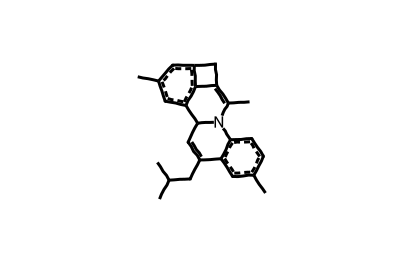 CC1=C2Cc3cc(C)cc(c32)C2C=C(CC(C)C)c3cc(C)ccc3N12